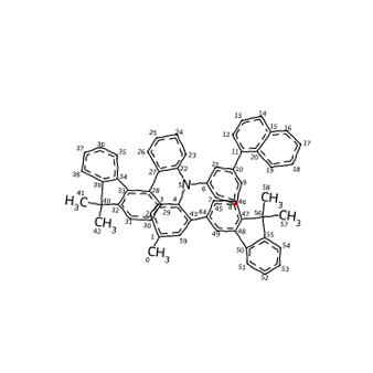 Cc1ccc(N(c2cccc(-c3cccc4ccccc34)c2)c2ccccc2-c2cccc3c2-c2ccccc2C3(C)C)c(-c2ccc3c(c2)-c2ccccc2C3(C)C)c1